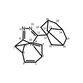 C1=CC2C=CC3C1C3c1nnc(C34CC5CC(CC(C5)C3)C4)n12